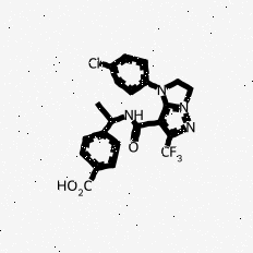 CC(NC(=O)c1c(C(F)(F)F)nn2c1N(c1ccc(Cl)cc1)CC2)c1ccc(C(=O)O)cc1